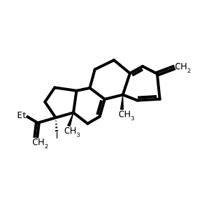 C=C1C=C[C@@]2(C)C(=C1)CCC1C2=CC[C@@]2(C)C1CC[C@]2(I)C(=C)CC